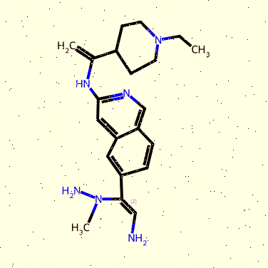 C=C(Nc1cc2cc(/C(=C/N)N(C)N)ccc2cn1)C1CCN(CC)CC1